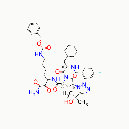 CC(C)(O)c1cnnn1[C@H]1C[C@@H](C(=O)NC(CCCCNC(=O)OCc2ccccc2)C(=O)C(N)=O)N(C(=O)[C@@H](CC2CCCCC2)NC(=O)c2ccc(F)cc2)C1